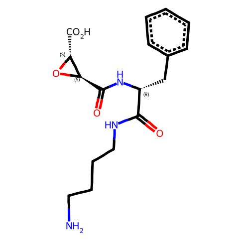 NCCCCNC(=O)[C@@H](Cc1ccccc1)NC(=O)[C@H]1O[C@@H]1C(=O)O